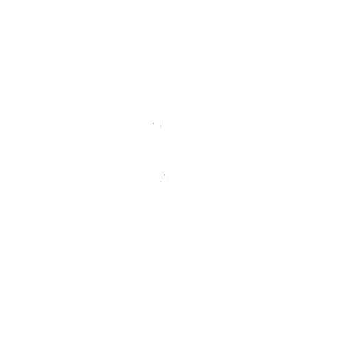 CC1=CC(C)[C]([Zr+2](=[C](c2ccccc2)c2ccccc2)[CH]2c3ccccc3-c3ccccc32)=C1.[Cl-].[Cl-]